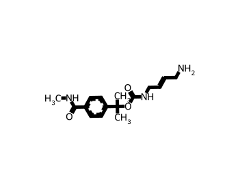 CNC(=O)c1ccc(C(C)(C)OC(=O)NC/C=C/CN)cc1